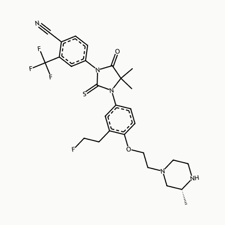 C[C@@H]1CN(CCOc2ccc(N3C(=S)N(c4ccc(C#N)c(C(F)(F)F)c4)C(=O)C3(C)C)cc2CCF)CCN1